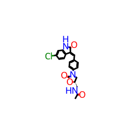 CC(=O)NC[C@H]1CN(c2ccc(/C=C3/C(=O)Nc4cc(Cl)ccc43)cc2)C(=O)O1